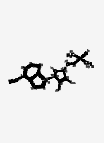 COc1ncnc2c1ncn2[C@@H]1O[C@H](OCP(C)(C)=O)C(I)=C1F